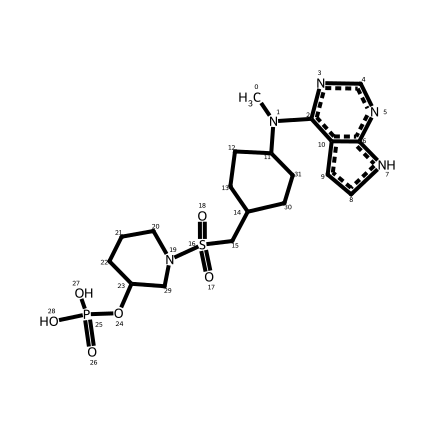 CN(c1ncnc2[nH]ccc12)C1CCC(CS(=O)(=O)N2CCCC(OP(=O)(O)O)C2)CC1